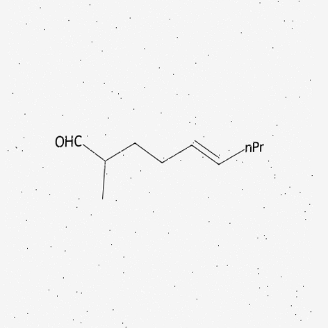 CCCC=CCCC(C)C=O